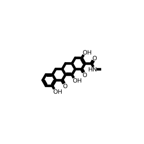 CNC(=O)C1=C(O)CC2CC3Cc4cccc(O)c4C(=O)C3=C(O)C2C1=O